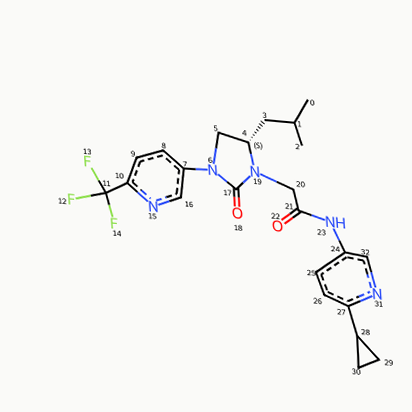 CC(C)C[C@H]1CN(c2ccc(C(F)(F)F)nc2)C(=O)N1CC(=O)Nc1ccc(C2CC2)nc1